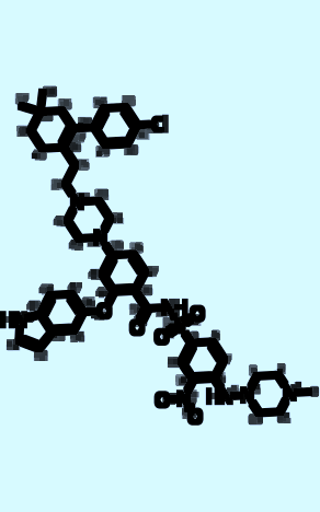 CN1CCN(Nc2ccc(S(=O)(=O)NC(=O)c3ccc(N4CCN(CCC5=C(c6ccc(Cl)cc6)CC(C)(C)CC5)CC4)cc3Oc3ccc4[nH]ccc4c3)cc2[N+](=O)[O-])CC1